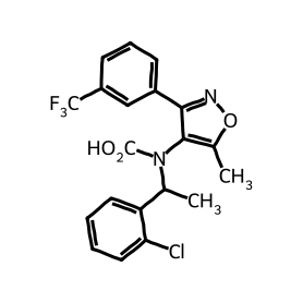 Cc1onc(-c2cccc(C(F)(F)F)c2)c1N(C(=O)O)C(C)c1ccccc1Cl